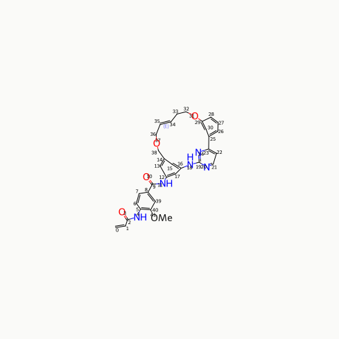 C=CC(=O)Nc1ccc(C(=O)Nc2cc3cc(c2)Nc2nccc(n2)-c2cccc(c2)OCC/C=C/COC3)cc1OC